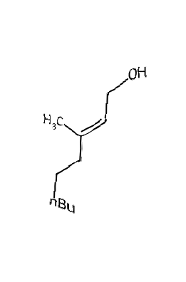 CCCCCC/C(C)=C/CO